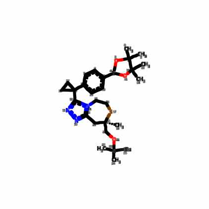 CC1(C)OB(c2ccc(C3(c4nnc5n4CCS[C@@](C)(CO[Si](C)(C)C(C)(C)C)C5)CC3)cc2)OC1(C)C